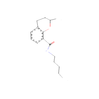 CCCCCNC(=O)c1cccc2c1OC(C)CC2